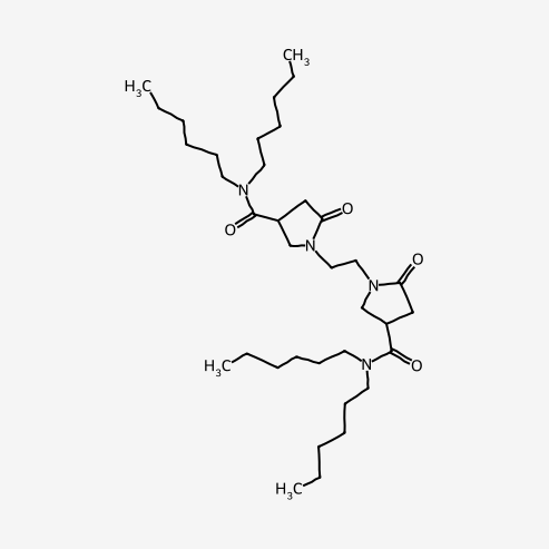 CCCCCCN(CCCCCC)C(=O)C1CC(=O)N(CCN2CC(C(=O)N(CCCCCC)CCCCCC)CC2=O)C1